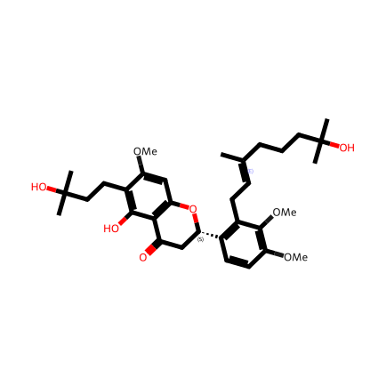 COc1cc2c(c(O)c1CCC(C)(C)O)C(=O)C[C@@H](c1ccc(OC)c(OC)c1C/C=C(\C)CCCC(C)(C)O)O2